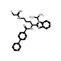 CC(C)n1c(C(CCCNC(=N)CF)NC(=O)c2ccc(-c3ccccc3)cc2)nc2ccccc21